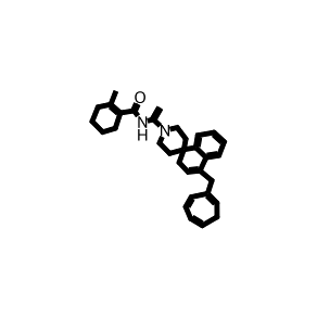 C=C(NC(=O)C1=C(C)CCCC1)N1CCC2(CC=C(CC3=CCC=CC=C3)c3ccccc32)CC1